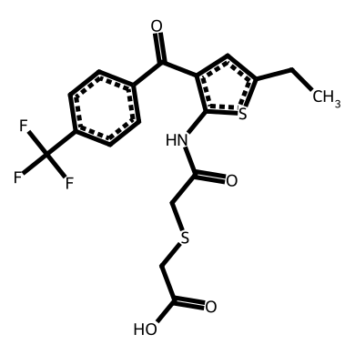 CCc1cc(C(=O)c2ccc(C(F)(F)F)cc2)c(NC(=O)CSCC(=O)O)s1